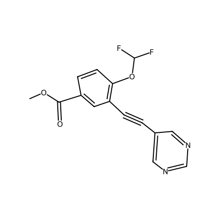 COC(=O)c1ccc(OC(F)F)c(C#Cc2cncnc2)c1